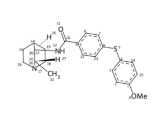 COc1ccc(Sc2ccc(C(=O)N[C@@H]3C4CCN(CC4)[C@H]3C)cc2)cc1